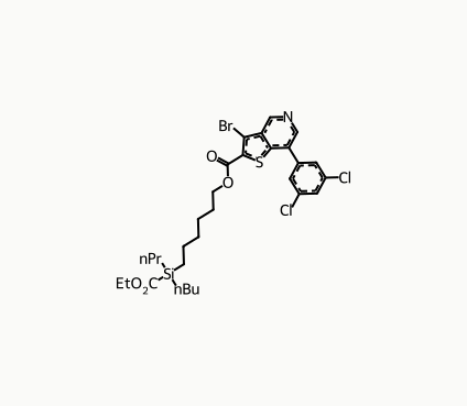 CCCC[Si](CCC)(CCCCCCOC(=O)c1sc2c(-c3cc(Cl)cc(Cl)c3)cncc2c1Br)C(=O)OCC